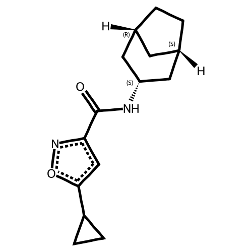 O=C(N[C@@H]1C[C@@H]2CC[C@@H](C2)C1)c1cc(C2CC2)on1